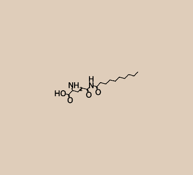 CCCCCCCCCC(=O)NC(=O)CC[C@H](N)C(=O)O